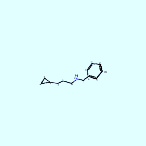 [CH](CCC1CC1)NCc1ccccc1